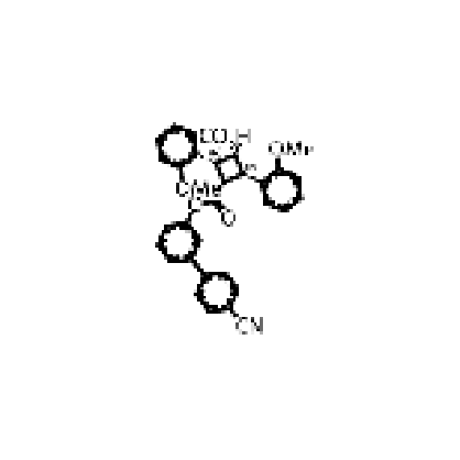 COc1ccccc1[C@@H]1[C@H](C(=O)O)[C@@H](c2ccccc2OC)[C@H]1C(=O)Oc1cccc(-c2ccc(C#N)cc2)c1